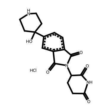 Cl.O=C1CCC(N2C(=O)c3ccc(C4(O)CCNCC4)cc3C2=O)C(=O)N1